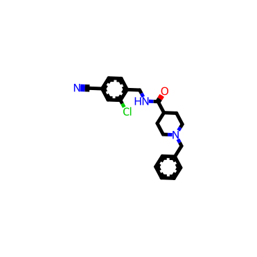 N#Cc1ccc(CNC(=O)C2CCN(Cc3ccccc3)CC2)c(Cl)c1